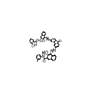 Cc1cccc(NC(=O)c2cc3ccccc3c(N=Nc3ccc4c(c3)-c3cc(N=Nc5c(O)c(CONc6ccccc6Cl)cc6ccccc56)ccc3C4=O)c2O)c1